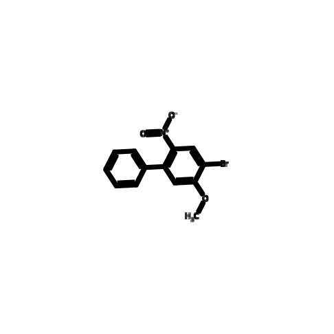 COc1cc(-c2ccccc2)c([N+](=O)[O-])cc1Br